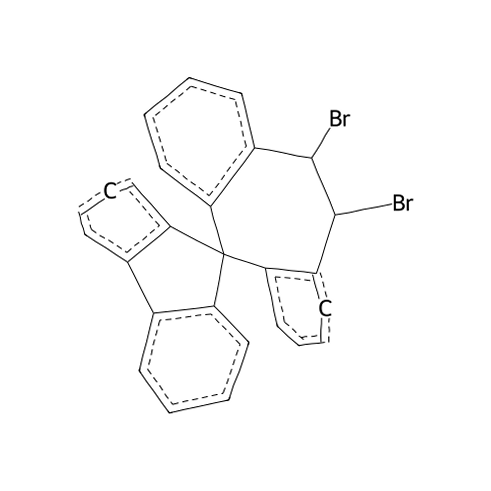 BrC1c2ccccc2C2(c3ccccc3-c3ccccc32)c2ccccc2C1Br